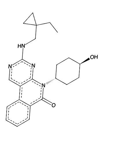 CCC1(CNc2ncc3c4ccccc4c(=O)n([C@H]4CC[C@H](O)CC4)c3n2)CC1